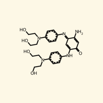 NC1=CC(=O)C(Nc2ccc(N(CCO)CCO)cc2)=CC1=Nc1ccc(N(CCO)CCO)cc1